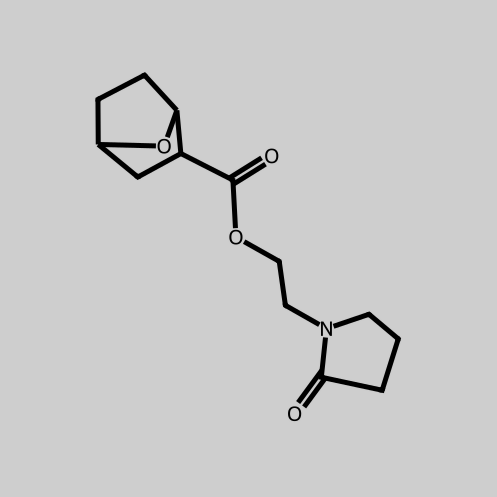 O=C(OCCN1CCCC1=O)C1CC2CCC1O2